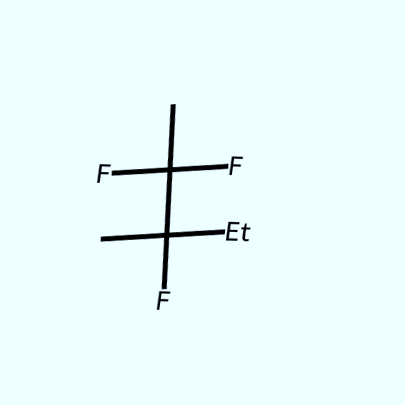 CCC(C)(F)C(C)(F)F